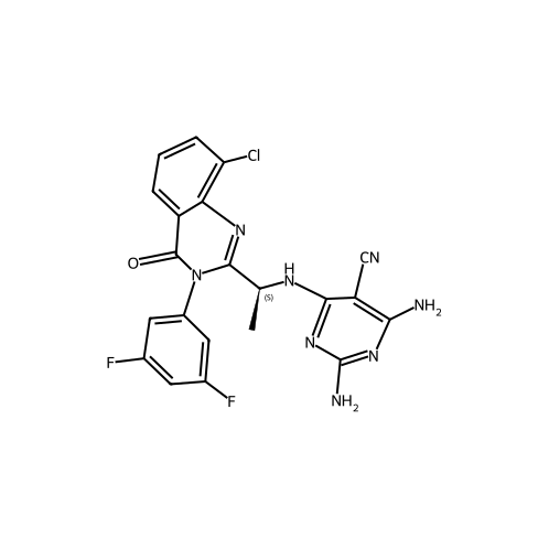 C[C@H](Nc1nc(N)nc(N)c1C#N)c1nc2c(Cl)cccc2c(=O)n1-c1cc(F)cc(F)c1